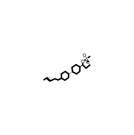 C/C=C/CCC1CCC([C@H]2CC[C@H](C(CC)OS(C)(=O)=O)CC2)CC1